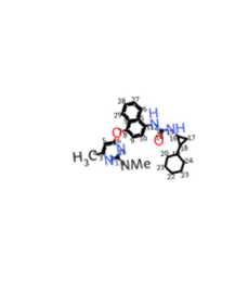 CNc1nc(C)cc(Oc2ccc(NC(=O)NC3CC3C3CCCCC3)c3ccccc23)n1